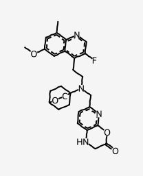 COc1cc(C)c2ncc(F)c(CCN(Cc3ccc4c(n3)OC(=O)CN4)C34CCC(CC3)OC4)c2c1